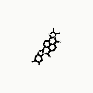 Cc1cc2nc3c4ccc5c6n(c(=O)c7ccc(c(=O)n3c2cc1C)c4c75)C(C)C(C)N=6